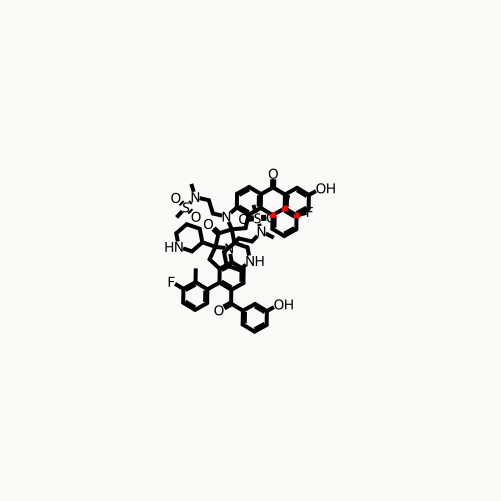 Cc1c(F)cccc1-c1c(C(=O)c2cccc(O)c2)ccc2c1CC(C(=O)C1(C3CCCNC3)Cc3c(ccc(C(=O)c4cccc(O)c4)c3-c3cccc(F)c3C)N1CCN(C)S(C)(=O)=O)(C1CCCNC1)N2CCN(C)S(C)(=O)=O